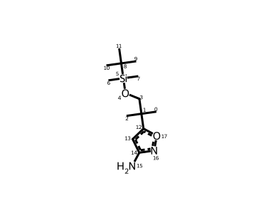 CC(C)(CO[Si](C)(C)C(C)(C)C)c1cc(N)no1